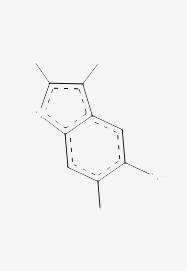 Cc1[nH]c2cc(O)c(N)cc2c1C